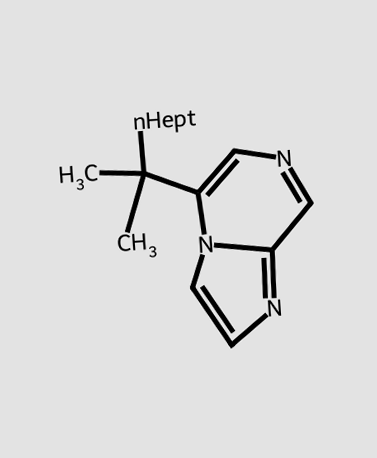 CCCCCCCC(C)(C)c1cncc2nccn12